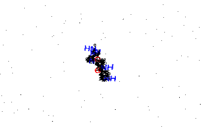 CNc1nccc(-c2cccnc2Oc2ccc(NC(=O)c3ccc4[nH]ccc4c3)cc2C)n1